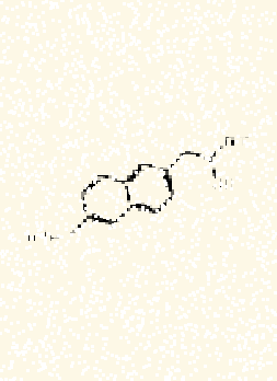 CCCCCCCc1ccc2cc(CC(O)CCC)ccc2c1